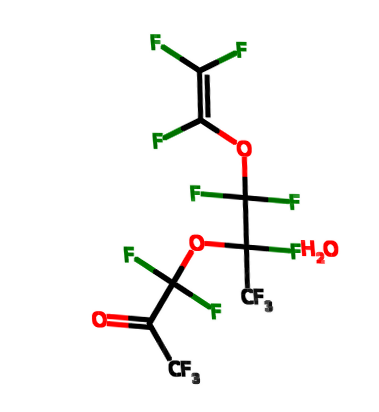 O.O=C(C(F)(F)F)C(F)(F)OC(F)(C(F)(F)F)C(F)(F)OC(F)=C(F)F